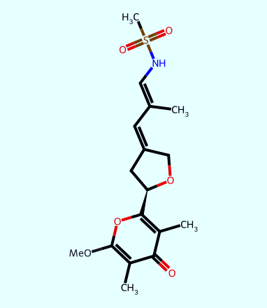 COc1oc([C@H]2C/C(=C/C(C)=C/NS(C)(=O)=O)CO2)c(C)c(=O)c1C